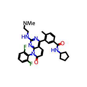 CNCCNc1nc(-c2cc(C(=O)NC3CCCC3)ccc2C)c2ccc(=O)n(-c3c(F)cccc3F)c2n1